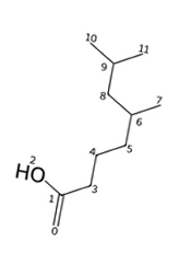 C=C(O)CCCC(C)CC(C)C